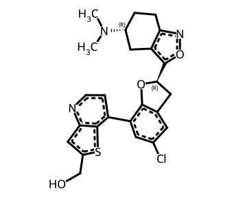 CN(C)[C@@H]1CCc2noc([C@H]3Cc4cc(Cl)cc(-c5ccnc6cc(CO)sc56)c4O3)c2C1